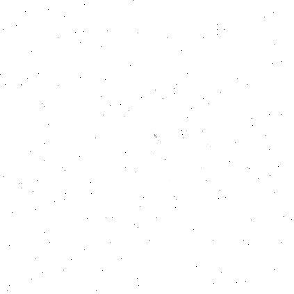 C=CC(=O)N1CCC[C@@H](n2nc(C(=O)O)c3c(N)ncnc32)C1